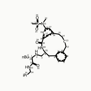 CCCC[C@H](NC[C@@H]1Cc2cccc(c2)CCCCc2cc(cc(N(C)S(C)(=O)=O)c2)C(=O)N1)C(=O)NCC(C)C